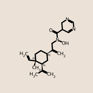 C=C[C@]1(C)CC[C@@H](C(=C)CN(O)C(=O)C2C=NC=NC2)C[C@H]1C(=C)C